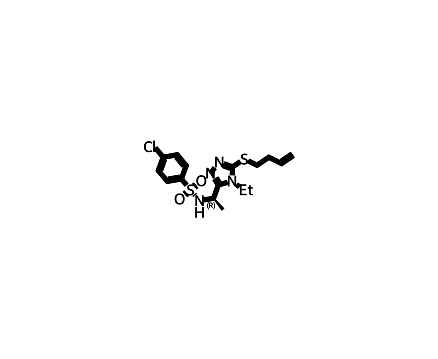 C=CCCSc1nnc([C@@H](C)NS(=O)(=O)c2ccc(Cl)cc2)n1CC